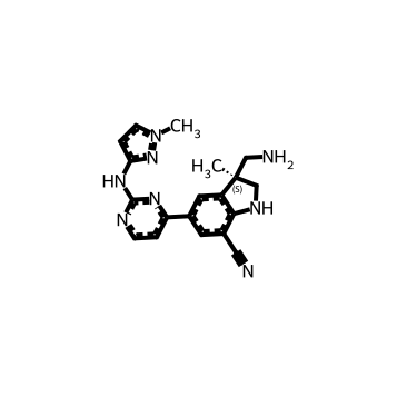 Cn1ccc(Nc2nccc(-c3cc(C#N)c4c(c3)[C@@](C)(CN)CN4)n2)n1